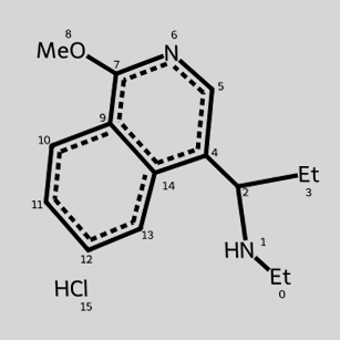 CCNC(CC)c1cnc(OC)c2ccccc12.Cl